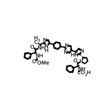 COC(=O)N[C@@H](C(=O)N[C@@H](C)c1ncc(-c2ccc(-c3ncc(-c4cnc([C@@H]5CCCN5C(=O)[C@H](NC(=O)O)c5ccccc5)[nH]4)cn3)cc2)[nH]1)c1ccccc1